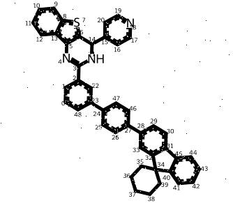 c1cc(C2=Nc3c(sc4ccccc34)C(c3ccncc3)N2)cc(-c2ccc(-c3ccc4c(c3)C3(CCCCC3)c3ccccc3-4)cc2)c1